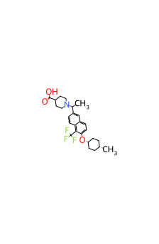 CC(c1ccc2c(C(F)(F)F)c(O[C@H]3CC[C@@H](C)CC3)ccc2c1)N1CCC(C(=O)O)CC1